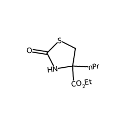 CCCC1(C(=O)OCC)CSC(=O)N1